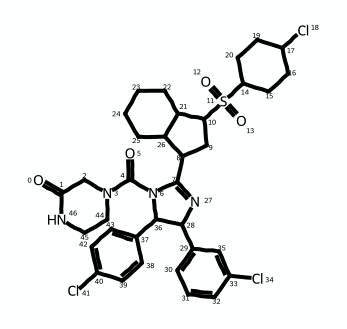 O=C1CN(C(=O)N2C(C3CC(S(=O)(=O)C4CCC(Cl)CC4)C4CCCCC34)=NC(c3cccc(Cl)c3)C2c2ccc(Cl)cc2)CCN1